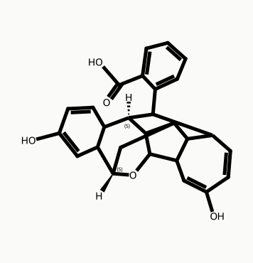 O=C(O)c1ccccc1C1C2C=CC(O)=CC3C4O[C@H]5CC(C32)C4[C@H]1C1C=CC(O)=CC15